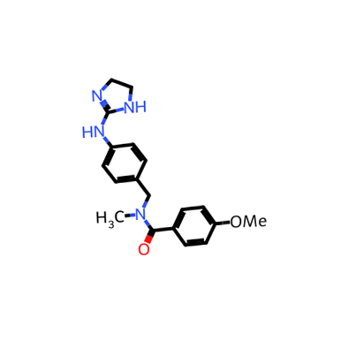 COc1ccc(C(=O)N(C)Cc2ccc(NC3=NCCN3)cc2)cc1